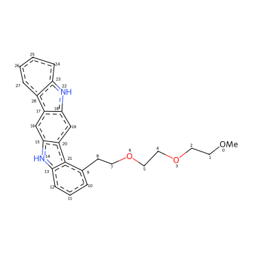 COCCOCCOCCc1cccc2[nH]c3cc4c(cc3c12)[nH]c1ccccc14